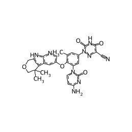 Cc1cc(-n2nc(C#N)c(=O)[nH]c2=O)cc(-n2ccc(N)nc2=O)c1Oc1cnc2[nH]c3c(c2c1)C(C)(C)COC3